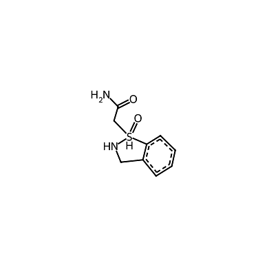 NC(=O)C[SH]1(=O)NCc2ccccc21